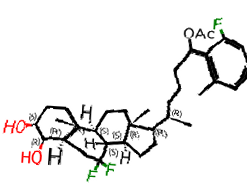 CC(=O)OC(CCC[C@@H](C)[C@H]1CC[C@H]2[C@H]3[C@H](CC[C@]12C)[C@@]1(C)CC[C@H](O)[C@H](O)[C@@H]1CC3(F)F)c1c(C)cccc1F